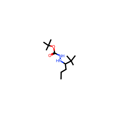 CCCC(NNC(=O)OC(C)(C)C)C(C)(C)C